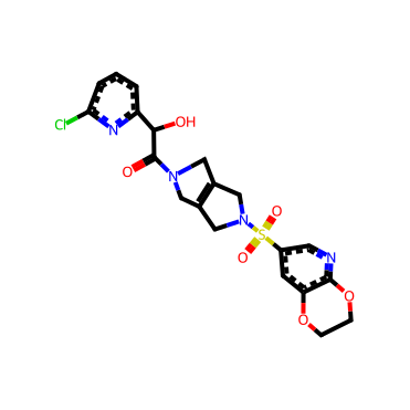 O=C(C(O)c1cccc(Cl)n1)N1CC2=C(C1)CN(S(=O)(=O)c1cnc3c(c1)OCCO3)C2